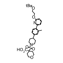 Cc1cc(C2CCN(S(=O)(=O)C3(C(=O)O)CCOCC3)CC2)ccc1-c1cccc(OCCOC(C)(C)C)n1